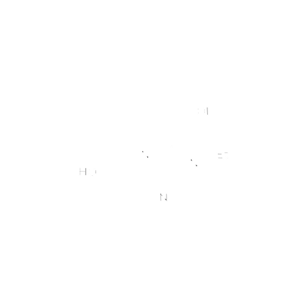 CCN1CN=C(CO)N=C1CO